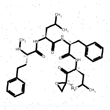 CN[C@@H](CCc1ccccc1)C(=O)N[C@@H](CC(C)C)C(=O)N[C@@H](Cc1ccccc1)C(=O)N[C@@H](CC(C)C)C(=O)[C@@]1(C)CO1